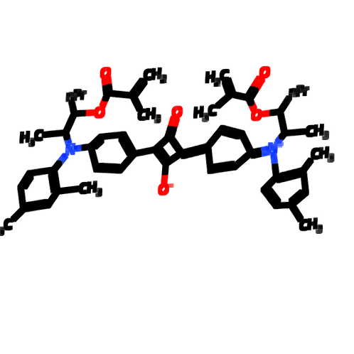 C=C(C)C(=O)OC(CCC)C(C)N(c1ccc(C2=C([O-])C(=C3C=CC(=[N+](c4ccc(C)cc4C)C(C)C(CCC)OC(=O)C(=C)C)C=C3)C2=O)cc1)c1ccc(C)cc1C